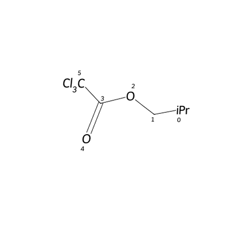 [CH2]C([CH2])COC(=O)C(Cl)(Cl)Cl